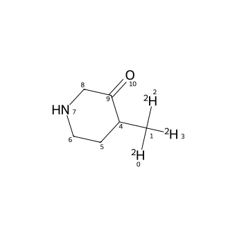 [2H]C([2H])([2H])C1CCNCC1=O